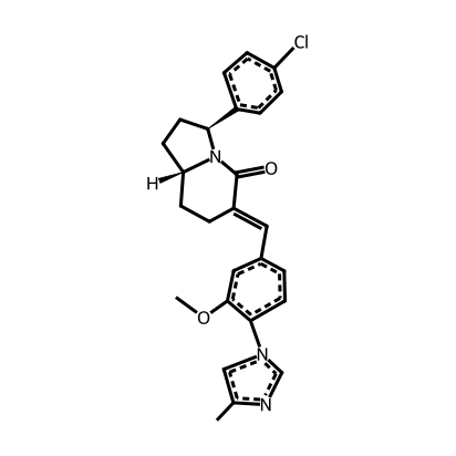 COc1cc(C=C2CC[C@@H]3CC[C@@H](c4ccc(Cl)cc4)N3C2=O)ccc1-n1cnc(C)c1